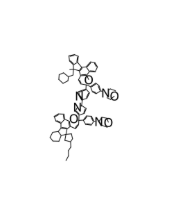 CCCCC1CCC2(C1)c1c3c(c4ccccc4c1C1CCCCC12)OC(c1ccc(N2CCOCC2)cc1)(c1ccc(-c2ccc(C4(c5ccc(N6CCOCC6)cc5)C=Cc5c6c(c7ccccc7c5O4)-c4ccccc4C6(C)CC4CCCCC4)cn2)nc1)C=C3